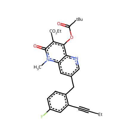 CCC#Cc1cc(F)ccc1Cc1cnc2c(OC(=O)C(C)(C)C)c(C(=O)OCC)c(=O)n(C)c2c1